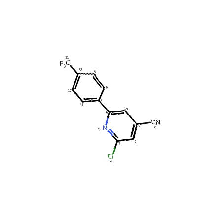 N#Cc1cc(Cl)nc(-c2ccc(C(F)(F)F)cc2)c1